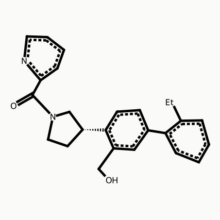 CCc1ccccc1-c1ccc([C@@H]2CCN(C(=O)c3ccccn3)C2)c(CO)c1